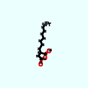 CC(C)CCCCCCCC1CC(=O)OC1=O